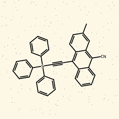 Cc1ccc2c(C#C[Si](c3ccccc3)(c3ccccc3)c3ccccc3)c3ccccc3c(C#N)c2c1